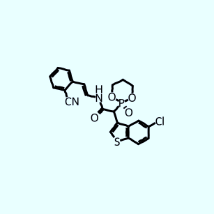 N#Cc1ccccc1/C=C/NC(=O)C(c1csc2ccc(Cl)cc12)P1(=O)OCCCO1